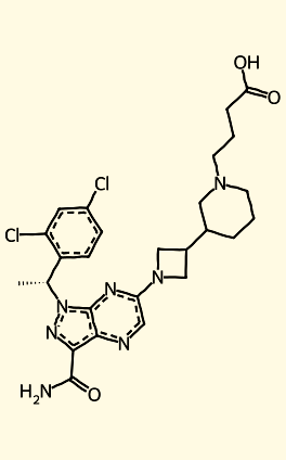 C[C@H](c1ccc(Cl)cc1Cl)n1nc(C(N)=O)c2ncc(N3CC(C4CCCN(CCCC(=O)O)C4)C3)nc21